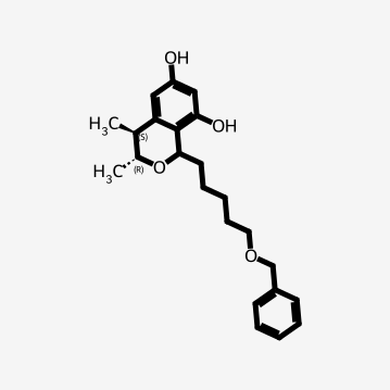 C[C@H]1OC(CCCCCOCc2ccccc2)c2c(O)cc(O)cc2[C@@H]1C